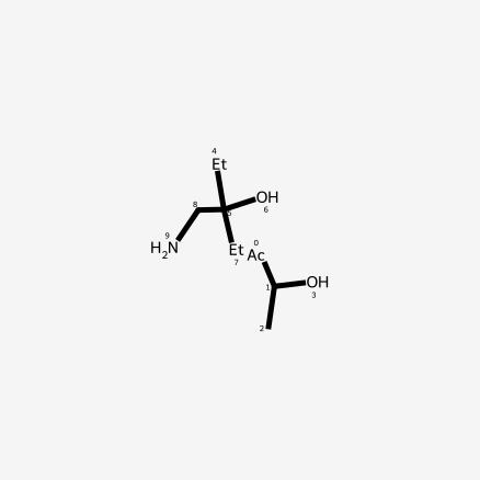 CC(=O)C(C)O.CCC(O)(CC)CN